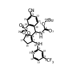 CC(C)(C)OC(=O)NC(C1=C(Nc2cc(C(F)(F)F)ccn2)CCC1=O)c1ccc(C#N)cc1S(C)(=O)=O